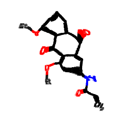 C=CC(=O)Nc1cc(OCC)c2c(c1)C(=O)c1cccc(OCC)c1C2=O